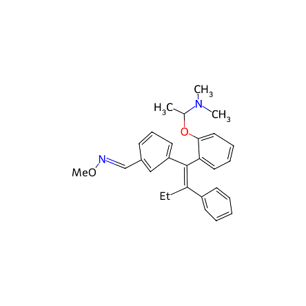 CC/C(=C(\c1cccc(/C=N/OC)c1)c1ccccc1OC(C)N(C)C)c1ccccc1